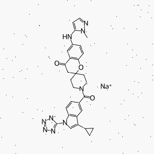 Cn1nccc1Nc1ccc2c(c1)C(=O)CC1(CCN(C(=O)c3ccc4c(c3)c(C3CC3)cn4-c3nnn[n-]3)CC1)O2.[Na+]